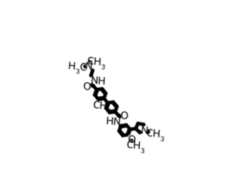 COc1ccc(NC(=O)c2ccc(-c3ccc(C(=O)NCCN(C)C)cc3C)cc2)cc1C1CCN(C)C1